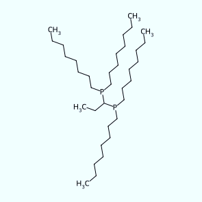 CCCCCCCCP(CCCCCCCC)C(CC)P(CCCCCCCC)CCCCCCCC